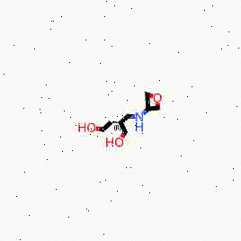 OCC[C@@H](CO)CNC1COC1